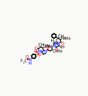 CC[C@H](C)[C@@H]([C@@H](CC(=O)N1CCC[C@H]1[C@H](OC)[C@@H](C)C(=O)NS(=O)(=O)c1ccc(NC(=O)C(F)(F)F)cc1)OC)N(C)C(=O)[C@@H](NC(=O)[C@@H](NC)C(C)(C)c1ccccc1)C(C)C